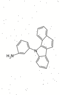 Nc1cccc(-n2c3ccccc3c3ccc4ccccc4c32)c1